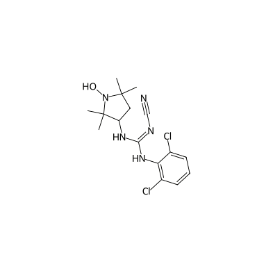 CC1(C)CC(NC(=NC#N)Nc2c(Cl)cccc2Cl)C(C)(C)N1O